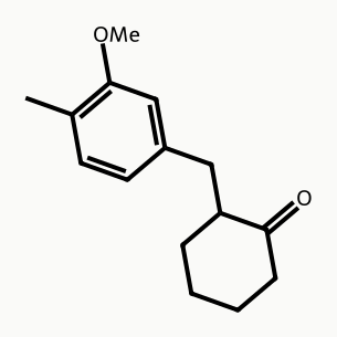 COc1cc(CC2CCCCC2=O)ccc1C